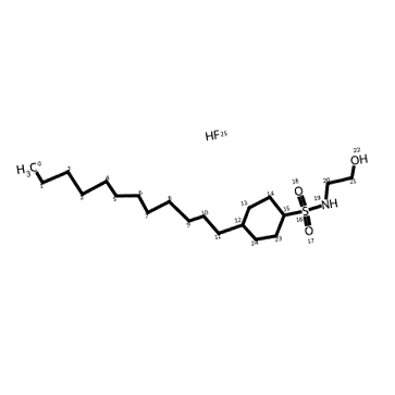 CCCCCCCCCCCCC1CCC(S(=O)(=O)NCCO)CC1.F